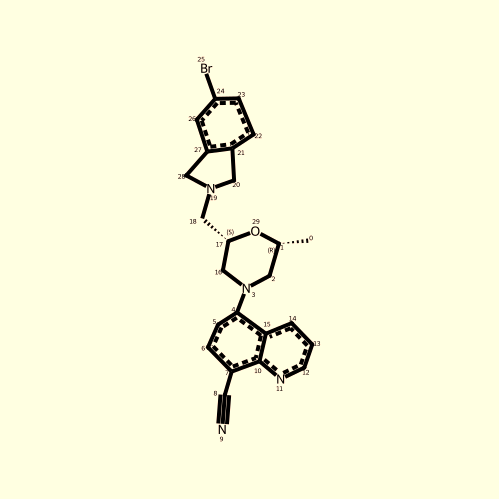 C[C@@H]1CN(c2ccc(C#N)c3ncccc23)C[C@H](CN2Cc3ccc(Br)cc3C2)O1